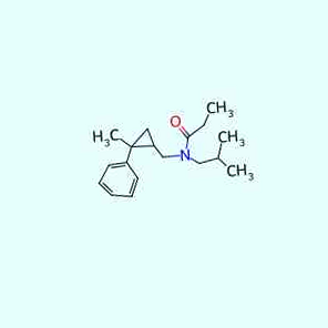 CCC(=O)N(CC(C)C)CC1CC1(C)c1ccccc1